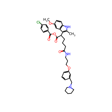 COc1ccc2[nH]c(C)c(C(CCCC(=O)NCCCOc3cccc(CN4CCCCC4)c3)C(=O)OC(=O)c3ccc(Cl)cc3)c2c1